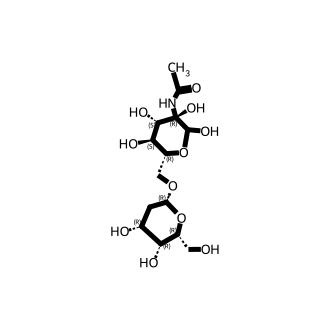 CC(=O)N[C@]1(O)C(O)O[C@H](CO[C@H]2C[C@@H](O)[C@@H](O)[C@@H](CO)O2)[C@@H](O)[C@@H]1O